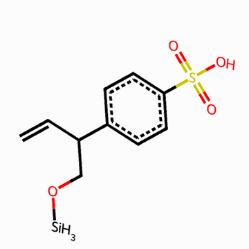 C=CC(CO[SiH3])c1ccc(S(=O)(=O)O)cc1